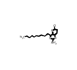 CCCCCCCCCCc1nc(N)nc2ccc(Cl)nc12